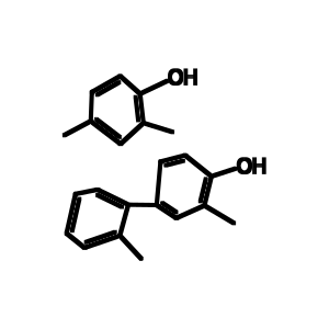 Cc1cc(-c2ccccc2C)ccc1O.Cc1ccc(O)c(C)c1